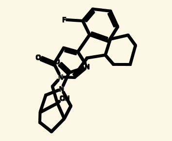 O=C(CCC1CCCCC1)N1CC2CCC(C1)C2(O)Cn1cnc(-c2ccccc2F)cc1=O